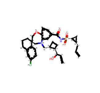 C=CC[C@H]1C[C@H]1S(=O)(=O)NC(=O)c1ccc2c(c1)N(C[C@@H]1CC[C@H]1C(O)C=C)C[C@@]1(CCCc3cc(Cl)ccc31)CO2